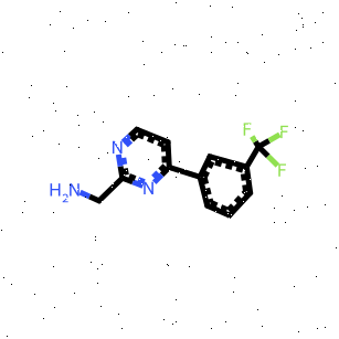 NCc1nccc(-c2cccc(C(F)(F)F)c2)n1